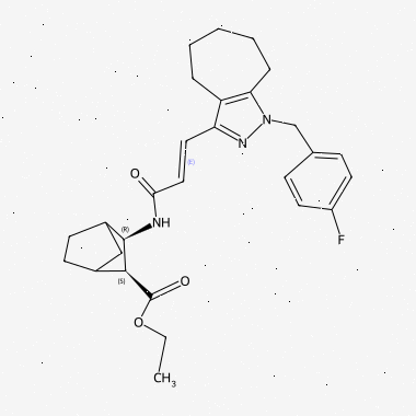 CCOC(=O)[C@H]1C2CCC(C2)[C@H]1NC(=O)/C=C/c1nn(Cc2ccc(F)cc2)c2c1CCCCC2